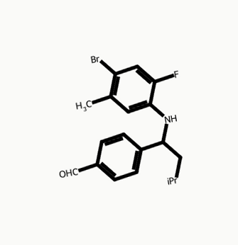 Cc1cc(NC(CC(C)C)c2ccc(C=O)cc2)c(F)cc1Br